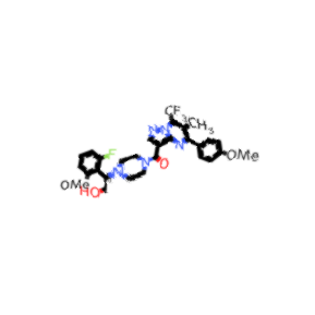 COc1ccc(-c2nc3c(C(=O)N4CCN([C@@H](CO)c5c(F)cccc5OC)CC4)cnn3c(C(F)(F)F)c2C)cc1